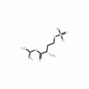 CC(C)OC(=O)[C@@H](C)CCOP(=O)(Cl)Cl